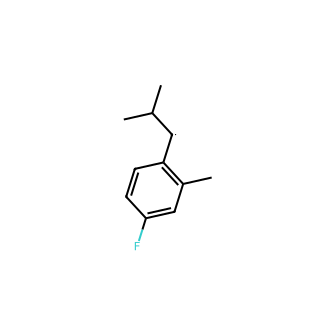 Cc1cc(F)ccc1[CH]C(C)C